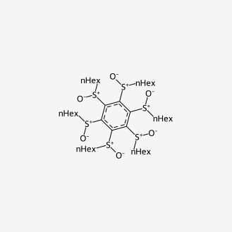 CCCCCC[S+]([O-])c1c([S+]([O-])CCCCCC)c([S+]([O-])CCCCCC)c([S+]([O-])CCCCCC)c([S+]([O-])CCCCCC)c1[S+]([O-])CCCCCC